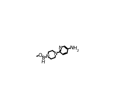 COBN1CCN(c2ccc(N)cn2)CC1